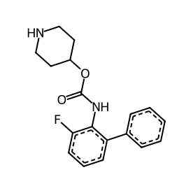 O=C(Nc1c(F)cccc1-c1ccccc1)OC1CCNCC1